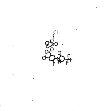 COC(OC(=O)c1cc(-n2ncc(C(F)(F)F)cc2=O)c(F)cc1Cl)C(=O)OCCCl